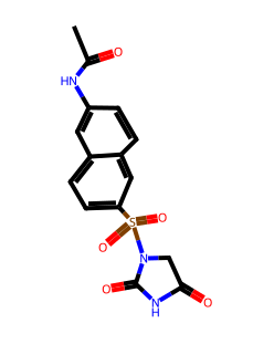 CC(=O)Nc1ccc2cc(S(=O)(=O)N3CC(=O)NC3=O)ccc2c1